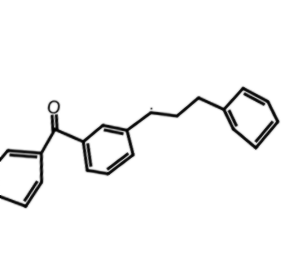 O=C(c1ccccc1)c1cccc([CH]CCc2ccccc2)c1